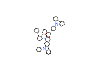 c1ccc(-c2ccccc2-c2c(-c3ccccc3)cccc2N(c2ccc(-c3ccc(-n4c5ccccc5c5ccccc54)cc3)cc2)c2ccc3c4ccccc4n(-c4ccccc4)c3c2)cc1